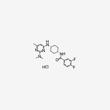 Cc1cc(N[C@H]2CC[C@@H](NC(=O)c3ccc(F)c(F)c3)CC2)nc(N(C)C)n1.Cl